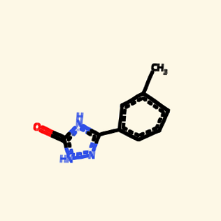 Cc1cccc(-c2n[nH]c(=O)[nH]2)c1